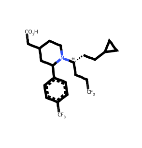 O=C(O)CC1CCN([C@H](CCC2CC2)CCC(F)(F)F)C(c2ccc(C(F)(F)F)cc2)C1